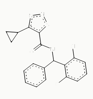 O=C(NC(c1ccccc1)c1c(F)cccc1Cl)c1snnc1C1CC1